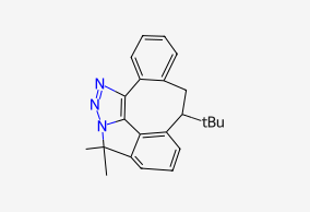 CC(C)(C)C1Cc2ccccc2-c2nnn3c2-c2c1cccc2C3(C)C